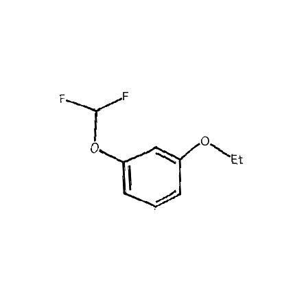 CCOc1c[c]cc(OC(F)F)c1